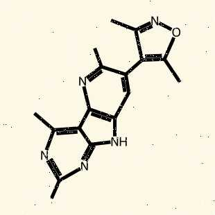 Cc1nc(C)c2c(n1)[nH]c1cc(-c3c(C)noc3C)c(C)nc12